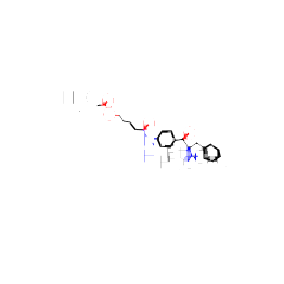 C=CC(=O)OCCC=CC(=O)Nc1ccc(C(=O)C(CC)(Cc2ccccc2)N(C)C)cc1